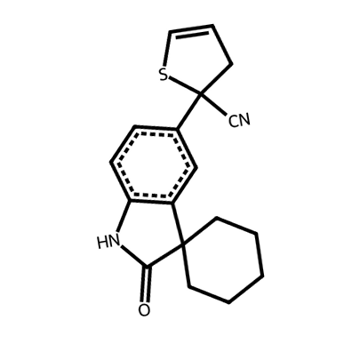 N#CC1(c2ccc3c(c2)C2(CCCCC2)C(=O)N3)CC=CS1